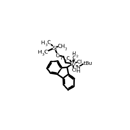 [CH2]=[Zr]([CH3])([Cl])([Cl])([CH2]CO[Si](C)(C)C)([NH]C(C)(C)C)[CH]1c2ccccc2-c2ccccc21